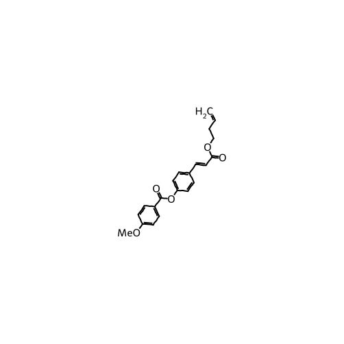 C=CCCOC(=O)C=Cc1ccc(OC(=O)c2ccc(OC)cc2)cc1